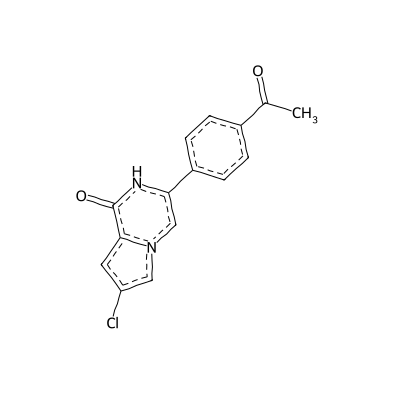 CC(=O)c1ccc(-c2cn3cc(Cl)cc3c(=O)[nH]2)cc1